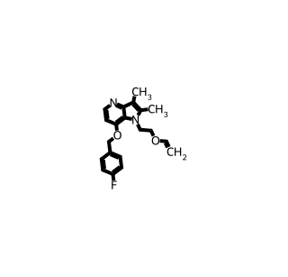 C=COCCn1c(C)c(C)c2nccc(OCc3ccc(F)cc3)c21